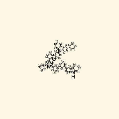 c1ccc(-c2ccc3c(c2)c2ccccc2n3-c2ccc3oc4c(-c5nc(-c6ccccc6)nc(-c6cccc(-c7cccc(-c8ccc9[nH]c%10ccccc%10c9c8)c7)c6)n5)cccc4c3c2)cc1